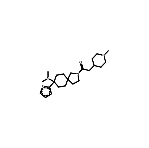 CN1CCC(CC(=O)N2CCC3(CCC(c4cccs4)(N(C)C)CC3)C2)CC1